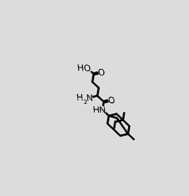 CC12CC3CC(C)(C1)CC(NC(=O)C(N)CCC(=O)O)(C3)C2